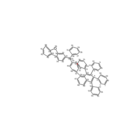 c1ccc(-c2c(-c3ccccc3)c(-c3ccccc3)c3c(-c4ccc(N(c5ccccc5)c5ccc6c(c5)oc5ccccc56)cc4)cccc3c2-c2ccccc2)cc1